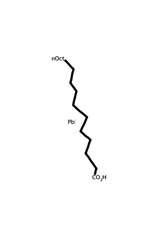 CCCCCCCCCCCCCCCCCC(=O)O.[Pb]